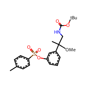 COC(C)(CNC(=O)OC(C)(C)C)c1cccc(OS(=O)(=O)c2ccc(C)cc2)c1